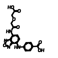 O=C(O)COCC(=O)Nc1ccc(Nc2ccc(C(=O)O)cc2)c2nonc12